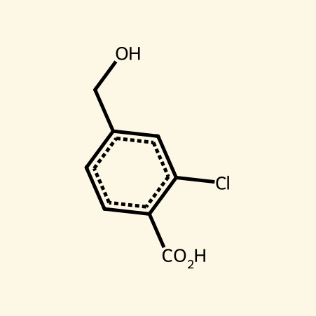 O=C(O)c1ccc(CO)cc1Cl